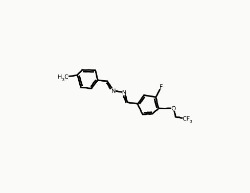 Cc1ccc(C=NN=Cc2ccc(OCC(F)(F)F)c(F)c2)cc1